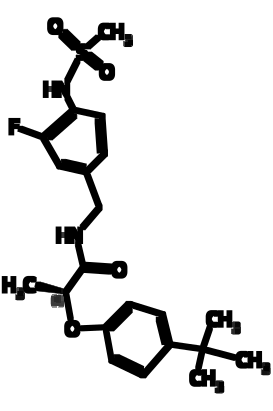 C[C@H](Oc1ccc(C(C)(C)C)cc1)C(=O)NCc1ccc(NS(C)(=O)=O)c(F)c1